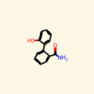 NC(=O)c1ccccc1-c1ccccc1O